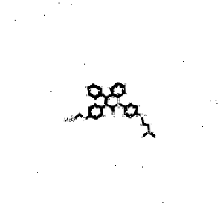 COCOc1ccc(C(C(=O)Nc2ccc(OCCN(C)C)cc2)=C(c2ccccc2)c2ccccc2)cc1